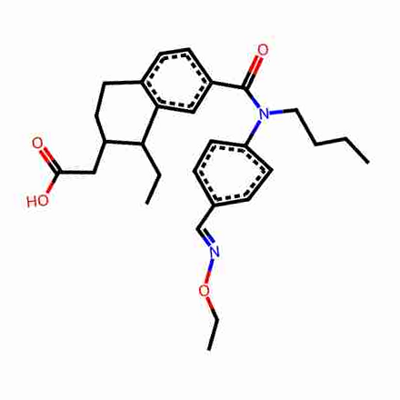 CCCCN(C(=O)c1ccc2c(c1)C(CC)C(CC(=O)O)CC2)c1ccc(C=NOCC)cc1